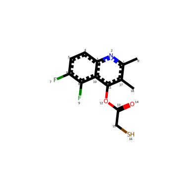 Cc1nc2ccc(F)c(F)c2c(OC(=O)CS)c1C